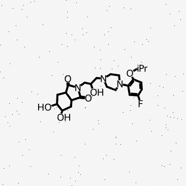 CC(C)Oc1ccc(F)cc1N1CCN(CC(O)CN2C(=O)C3CC(O)C(O)CC3C2=O)CC1